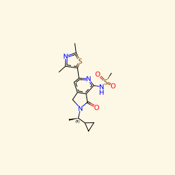 Cc1nc(C)c(-c2cc3c(c(NS(C)(=O)=O)n2)C(=O)N([C@H](C)C2CC2)C3)s1